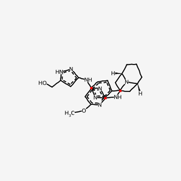 COc1cc(Nc2cc(CO)[nH]n2)nc(NC2C[C@H]3CCC[C@@H](C2)N3Cc2cccnc2)n1